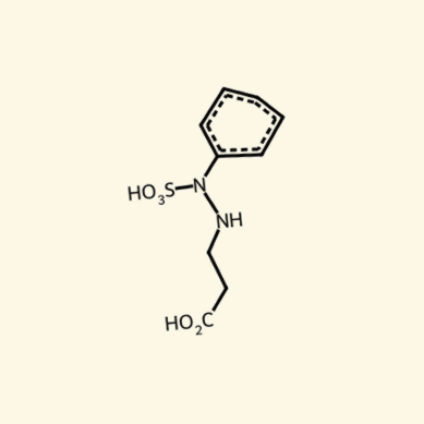 O=C(O)CCNN(c1ccccc1)S(=O)(=O)O